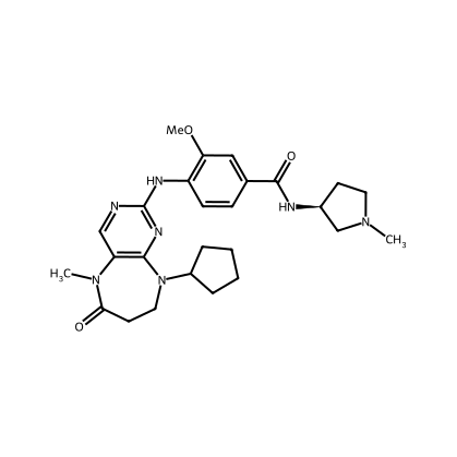 COc1cc(C(=O)N[C@H]2CCN(C)C2)ccc1Nc1ncc2c(n1)N(C1CCCC1)CCC(=O)N2C